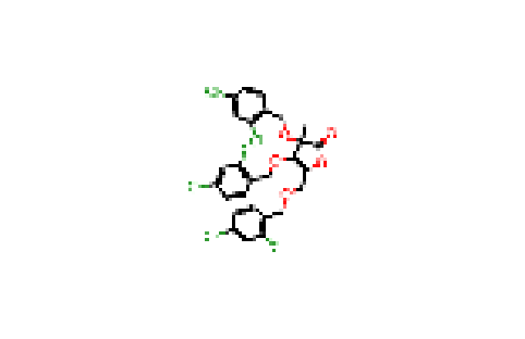 CC1(OCc2ccc(Cl)cc2Cl)C(=O)OC(COCc2ccc(Cl)cc2Cl)=C1OCc1ccc(Cl)cc1Cl